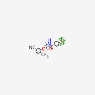 C[C@](C#N)(COc1cc(C#N)ccc1C(F)(F)F)NC(=O)c1ccc(S(F)(F)(F)(F)F)cc1